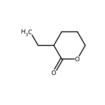 CCC1CCCOC1=O